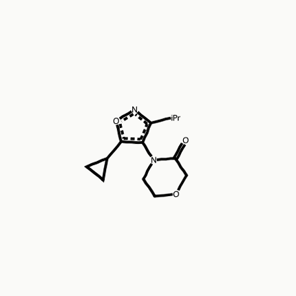 CC(C)c1noc(C2CC2)c1N1CCOCC1=O